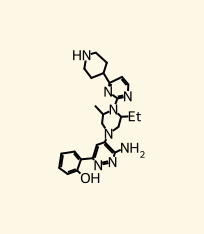 CCC1CN(c2cc(-c3ccccc3O)nnc2N)CC(C)N1c1nccc(C2CCNCC2)n1